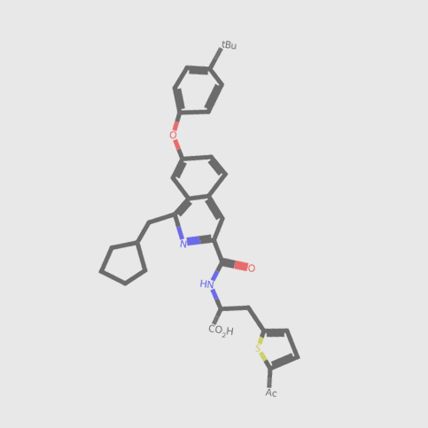 CC(=O)c1ccc(CC(NC(=O)c2cc3ccc(Oc4ccc(C(C)(C)C)cc4)cc3c(CC3CCCC3)n2)C(=O)O)s1